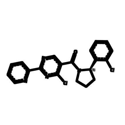 O=C(c1cnc(-c2ccccn2)nc1Cl)N1CCC[C@@H]1c1ccccc1Cl